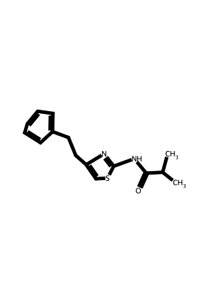 CC(C)C(=O)Nc1nc(CCc2ccccc2)cs1